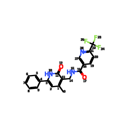 Cc1cc(-c2ccccc2)[nH]c(=O)c1CNC(=O)c1ccc(C(F)(F)F)nc1